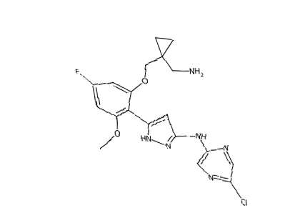 COc1cc(F)cc(OCC2(CN)CC2)c1-c1cc(Nc2cnc(Cl)cn2)n[nH]1